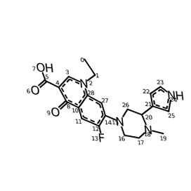 CCn1cc(C(=O)O)c(=O)c2cc(F)c(N3CCN(C)C(c4cc[nH]c4)C3)cc21